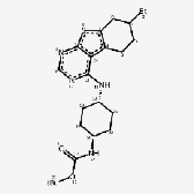 CCC1CCc2c(sc3ncnc(N[C@H]4CC[C@H](NC(=O)OC(C)(C)C)CC4)c23)C1